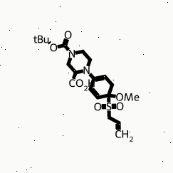 C=CCS(=O)(=O)C1(OC)C=CC(N2CCN(C(=O)OC(C)(C)C)CC2C(=O)O)=CC1